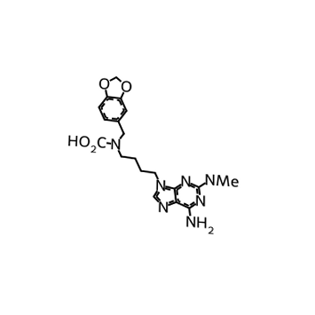 CNc1nc(N)c2ncn(CCCCN(Cc3ccc4c(c3)OCO4)C(=O)O)c2n1